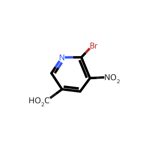 O=C(O)c1cnc(Br)c([N+](=O)[O-])c1